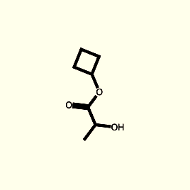 CC(O)C(=O)OC1CCC1